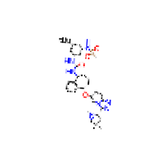 CN1CC(C)(C)C[C@H]1c1nnc2ccc(O[C@@H]3CCC[C@H](NC(=O)Nc4cc(NS(C)(=O)=O)cc(C(C)(C)C)c4)c4ccccc43)cn12